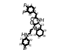 O=C(Cc1ccc(F)c(F)c1)N[C@@H](CC1CCCCC1)C(=O)NCCNc1ccc(F)cc1